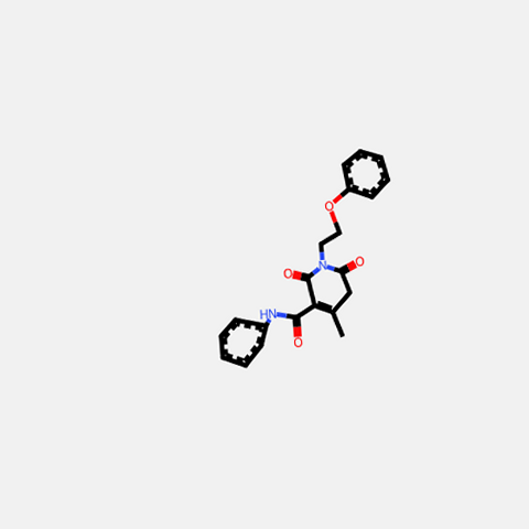 CC1=C(C(=O)Nc2ccccc2)C(=O)N(CCOc2ccccc2)C(=O)C1